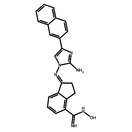 N=C(NO)c1cccc2c1CC/C2=N\n1cc(-c2ccc3ccccc3c2)nc1N